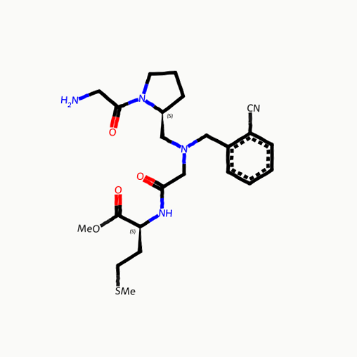 COC(=O)[C@H](CCSC)NC(=O)CN(Cc1ccccc1C#N)C[C@@H]1CCCN1C(=O)CN